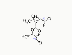 C#CC(OC(=O)C1C(/C=C(\F)Cl)C1(C)C)/C(F)=C/CC